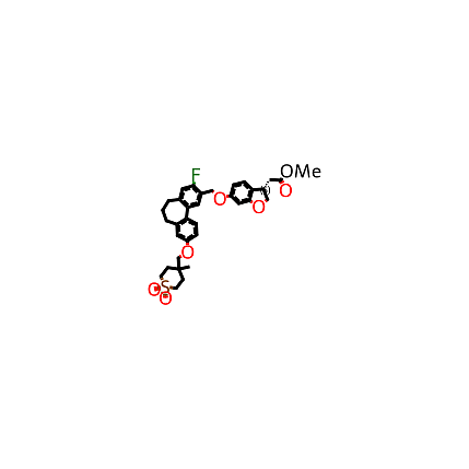 COC(=O)C[C@@H]1COc2cc(OCc3cc4c(cc3F)CCCc3cc(OCC5(C)CCS(=O)(=O)CC5)ccc3-4)ccc21